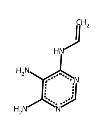 C=CNc1ncnc(N)c1N